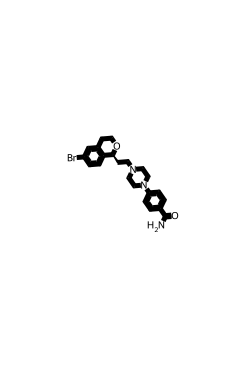 NC(=O)c1ccc(N2CCN(CC[C@@H]3OCCc4cc(Br)ccc43)CC2)cc1